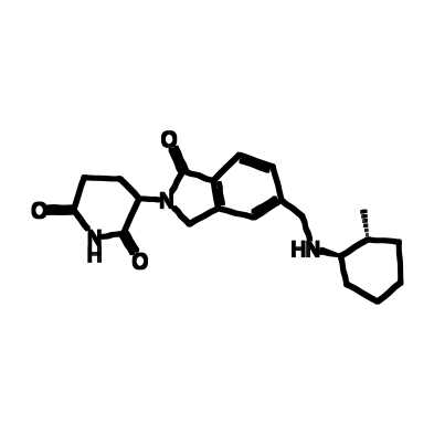 C[C@@H]1CCCC[C@H]1NCc1ccc2c(c1)CN(C1CCC(=O)NC1=O)C2=O